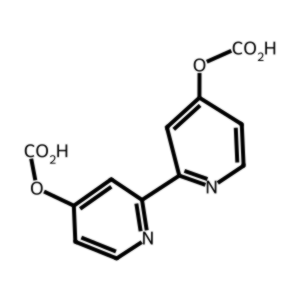 O=C(O)Oc1ccnc(-c2cc(OC(=O)O)ccn2)c1